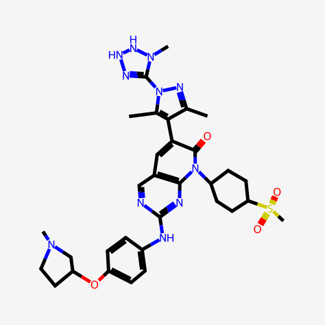 Cc1nn(C2=NNNN2C)c(C)c1-c1cc2cnc(Nc3ccc(OC4CCN(C)C4)cc3)nc2n(C2CCC(S(C)(=O)=O)CC2)c1=O